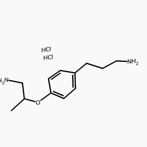 CC(CN)Oc1ccc(CCCN)cc1.Cl.Cl